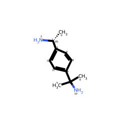 C[C@@H](N)c1ccc(C(C)(C)N)cc1